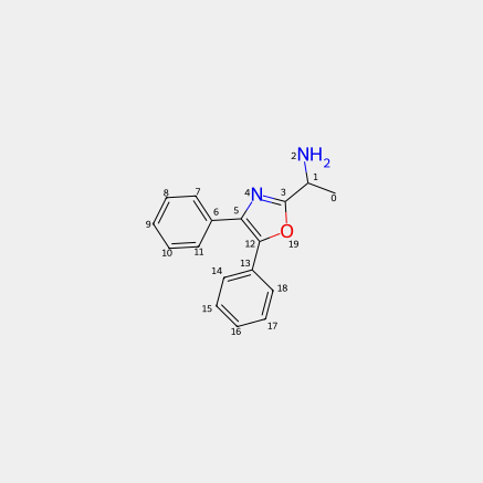 CC(N)c1nc(-c2ccccc2)c(-c2ccccc2)o1